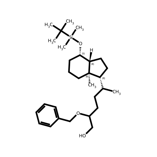 CC(CCC(CO)OCc1ccccc1)[C@H]1CC[C@H]2[C@@H](O[Si](C)(C)C(C)(C)C)CCC[C@]12C